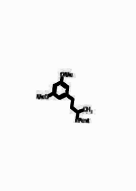 CCCCCC(C)CCc1cc(OC)cc(OC)c1